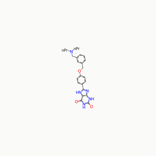 CCCN(CCC)Cc1cccc(COc2ccc(-c3nc4[nH]c(=O)[nH]c(=O)c4[nH]3)cc2)c1